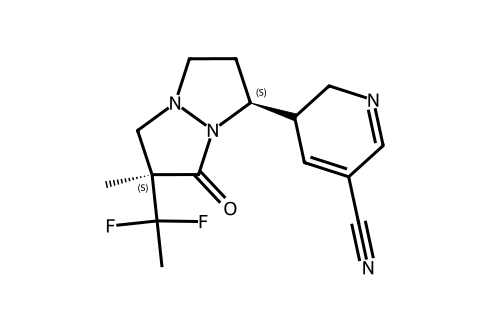 CC(F)(F)[C@@]1(C)CN2CC[C@@H](C3C=C(C#N)C=NC3)N2C1=O